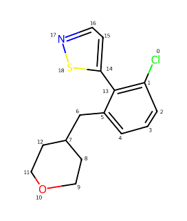 Clc1cccc(CC2CCOCC2)c1-c1ccns1